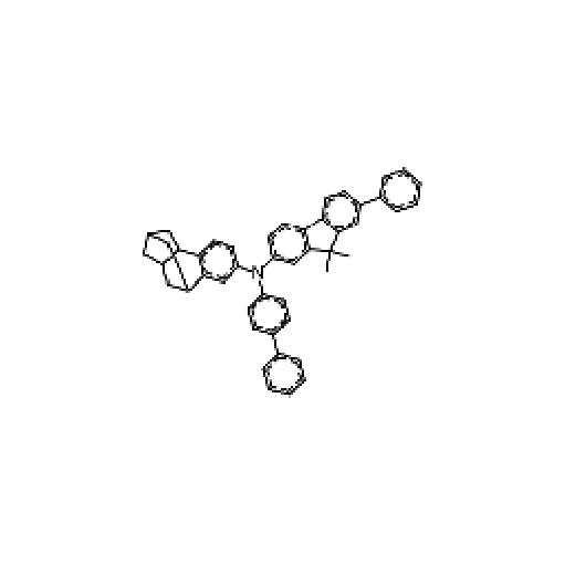 CC1(C)c2cc(-c3ccccc3)ccc2-c2ccc(N(c3ccc(-c4ccccc4)cc3)c3ccc4c(c3)C3CC5CC(C3)C4C5)cc21